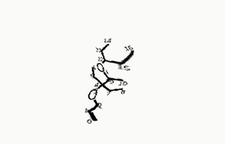 C=CCOC(CC)(CC)C(C)OC(CC)CC